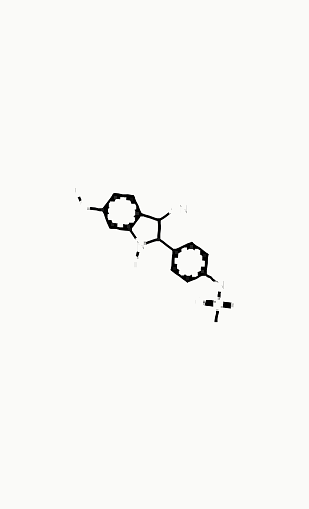 CCOc1ccc2c(c1)N(C(C)C)C(c1ccc(NS(C)(=O)=O)cc1)C2C#N